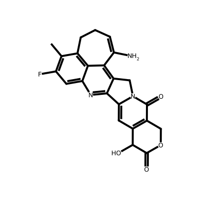 Cc1c(F)cc2nc3c(c4c2c1CCC=C4N)Cn1c-3cc2c(c1=O)COC(=O)C2O